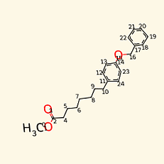 COC(=O)CCCCCCCc1ccc(OCc2ccccc2)cc1